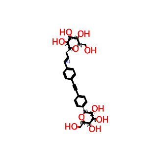 OC[C@H]1O[C@H](C/C=C/c2ccc(C#Cc3ccc([C@H]4O[C@H](CO)[C@@H](O)[C@H](O)[C@H]4O)cc3)cc2)[C@@H](O)[C@@H](O)[C@@H]1O